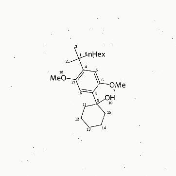 CCCCCCC(C)(C)c1cc(OC)c(C2(O)CCCCC2)cc1OC